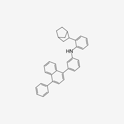 c1ccc(-c2ccc(-c3cccc(Nc4ccccc4C4CC5CCC4C5)c3)c3ccccc23)cc1